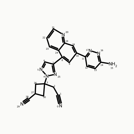 N#CCC1(n2ncc(-c3cc(-c4ccc(N)nn4)cc4ncccc34)n2)CC(C#N)C1